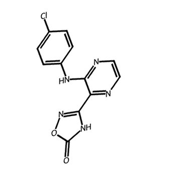 O=c1[nH]c(-c2nccnc2Nc2ccc(Cl)cc2)no1